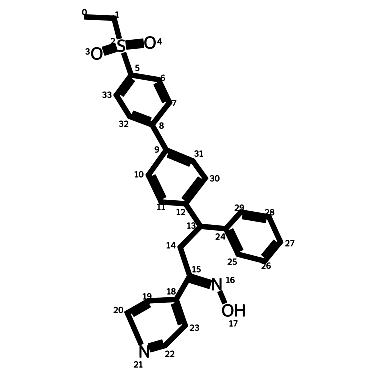 CCS(=O)(=O)c1ccc(-c2ccc(C(CC(=NO)c3ccncc3)c3ccccc3)cc2)cc1